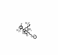 C/C=C\C=C(/C)Cn1c(-c2cc(F)cnc2C)nc2[nH]c(=O)n(CCCOC3CCCCO3)c(=O)c21